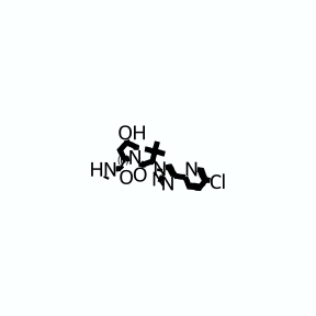 CNC(=O)[C@H]1CC(O)CN1C(=O)C(n1cc(-c2ccc(Cl)cn2)nn1)C(C)(C)C